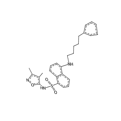 Cc1noc(NS(=O)(=O)c2cccc3c(NCCCCCc4ccccc4)cccc23)c1C